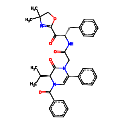 CC(C)[C@H]1C(=O)N(CC(=O)N[C@@H](Cc2ccccc2)C(=O)C2=NC(C)(C)CO2)C(c2ccccc2)=CN1C(=O)c1ccccc1